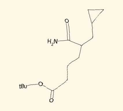 CC(C)(C)OC(=O)CCCC(CC1CC1)C(N)=O